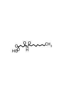 CCCCCCCCC(=O)NC(=O)CCC(=O)OO